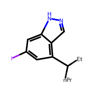 CCCC(CC)c1cc(I)cc2[nH]ncc12